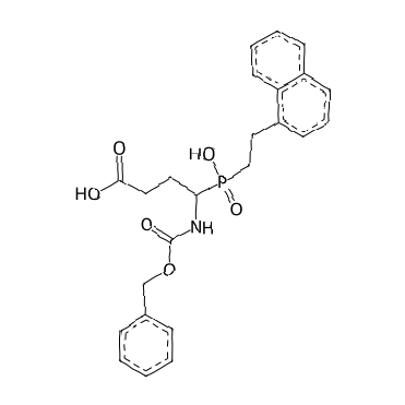 O=C(O)CCC(NC(=O)OCc1ccccc1)P(=O)(O)CCc1cccc2ccccc12